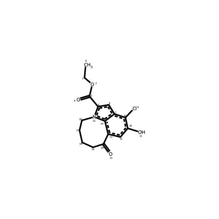 CCOC(=O)c1cc2c(Cl)c(O)cc3c2n1CCCCC3=O